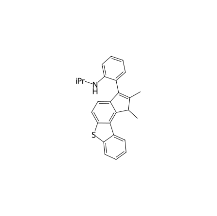 CC1=C(c2ccccc2NC(C)C)c2ccc3sc4ccccc4c3c2C1C